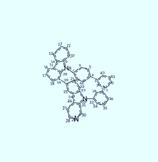 c1ccc(-c2ccc(-n3c4ccccc4c4cccc(-c5ccc6c(c5)c5ccncc5n6-c5ccccc5)c43)cc2)cc1